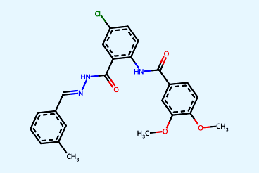 COc1ccc(C(=O)Nc2ccc(Cl)cc2C(=O)N/N=C/c2cccc(C)c2)cc1OC